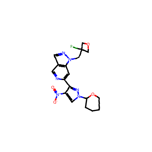 O=[N+]([O-])c1cn(C2CCCCO2)nc1-c1cc2c(cn1)cnn2CC1(F)COC1